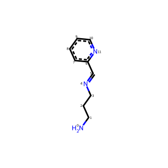 NCCC/N=C/c1ccccn1